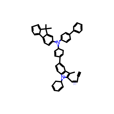 C#C/C=C\c1c(C)c2cc(C3=CCC(N(c4ccc(-c5ccccc5)cc4)c4ccc5c(c4)C(C)(C)c4ccccc4-5)C=C3)ccc2n1C1C=CC=CC1